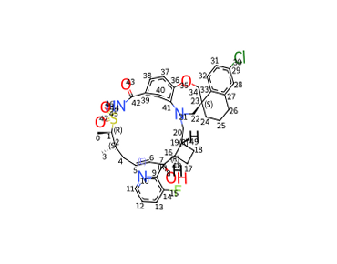 C[C@@H]1[C@@H](C)C/C=C/[C@@](O)(c2ncccc2F)[C@@H]2CC[C@H]2CN2C[C@@]3(CCCc4cc(Cl)ccc43)COc3ccc(cc32)C(=O)NS1(=O)=O